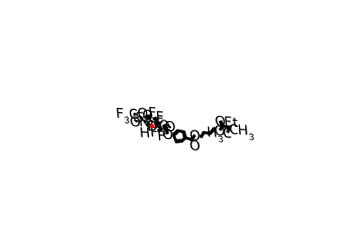 CCC(C)(C)C(=O)OCCCCOC(=O)c1ccc(OS(=O)(=O)C(F)(F)C(F)(F)C(F)(F)S(=O)(=O)NS(=O)(=O)C(F)(F)F)cc1